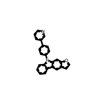 c1cncc(-c2ccc(-n3c4ccccc4c4cc5ccoc5cc43)cc2)c1